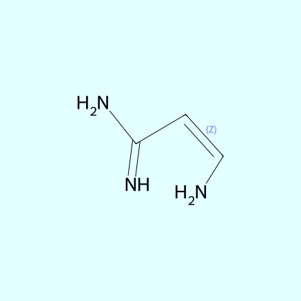 N=C(N)/C=C\N